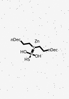 CCCCCCCCCCCCS(CCCCCCCCCCCC)=P(O)(O)S.[Zn]